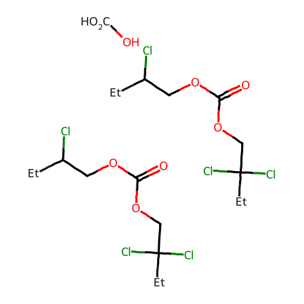 CCC(Cl)COC(=O)OCC(Cl)(Cl)CC.CCC(Cl)COC(=O)OCC(Cl)(Cl)CC.O=C(O)O